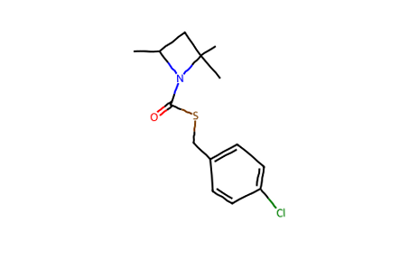 CC1CC(C)(C)N1C(=O)SCc1ccc(Cl)cc1